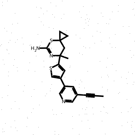 CC#Cc1cncc(-c2csc(C3(C)CC4(CC4)SC(N)=N3)c2)c1